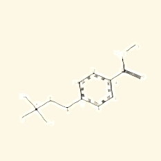 C=C(OC)c1ccc(CCC(C)(C)C)cc1